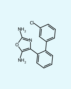 Nc1nc(-c2ccccc2-c2cccc(Cl)c2)c(N)o1